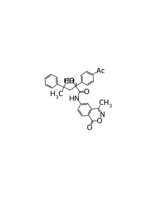 CC(=O)c1ccc(C(O)(CC(C)(C)c2ccccc2)C(=O)Nc2ccc3c(=O)onc(C)c3c2)cc1